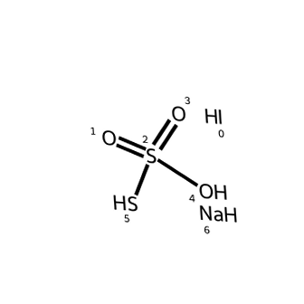 I.O=S(=O)(O)S.[NaH]